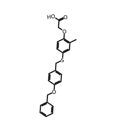 Cc1cc(SCc2ccc(OCc3ccccc3)cc2)ccc1OCC(=O)O